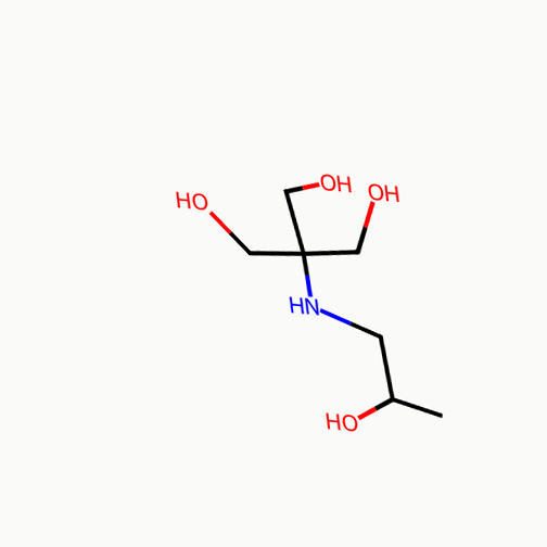 CC(O)CNC(CO)(CO)CO